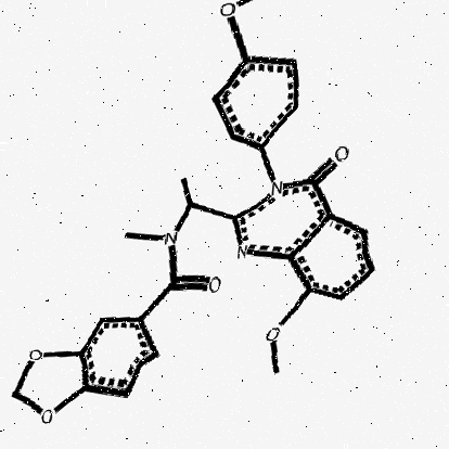 COc1ccc(-n2c(C(C)N(C)C(=O)c3ccc4c(c3)OCO4)nc3c(OC)cccc3c2=O)cc1